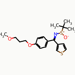 COCCCOc1ccc(C(=N[S+]([O-])C(C)(C)C)c2ccsc2)cc1